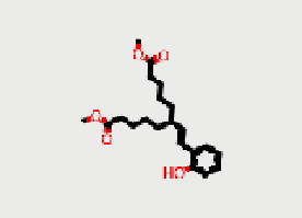 COC(=O)CCCCC(/C=C/c1ccccc1O)CCCCC(=O)OC